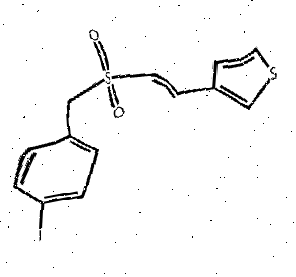 O=S(=O)(C=Cc1ccsc1)Cc1ccc(I)cc1